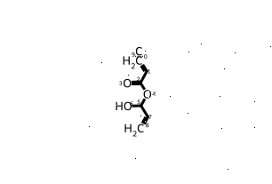 C=CC(=O)OC(O)C=C.[C]